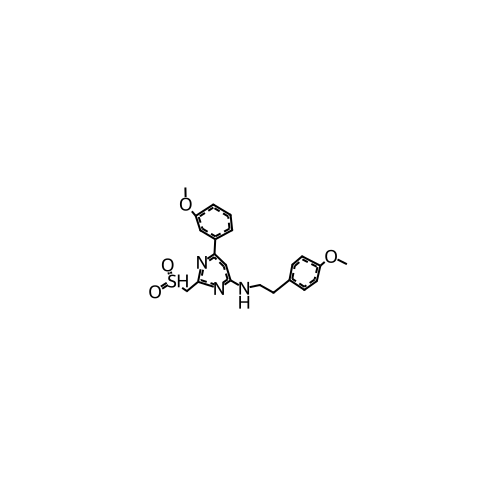 COc1ccc(CCNc2cc(-c3cccc(OC)c3)nc(C[SH](=O)=O)n2)cc1